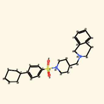 O=S(=O)(c1ccc(C2CCCCC2)cc1)N1CCC(CN2CCc3ccccc3C2)CC1